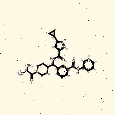 C[C@@H](N)C(=O)N1CCC(C(NC(=O)c2cc(C3CC3)on2)c2cccc(C(=O)Nc3cccnc3)c2)CC1